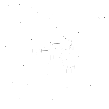 Cl.Cl.Cn1c(N)nc2nc[nH]c2c1=O